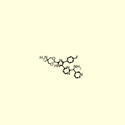 CC1(N)COC(c2nc(-c3ccc(F)cc3)c(-c3ccnc(C(N)c4cccnc4)n3)[nH]2)OC1